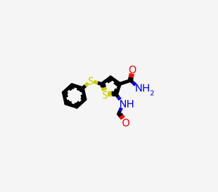 NC(=O)c1cc(Sc2ccccc2)sc1NC=O